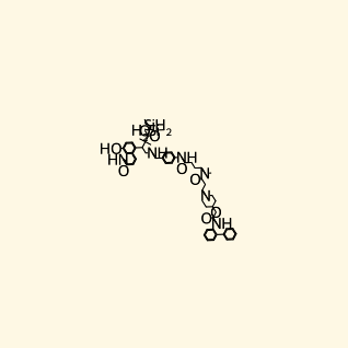 C[SiH2]OC(O[SiH2]C)C(C)(C)C(CNCc1ccc(NC(=O)CCCN(C)C(=O)CCN2CCC(OC(=O)Nc3ccccc3-c3ccccc3)CC2)cc1)c1ccc(O)c2[nH]c(=O)ccc12